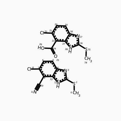 CSc1nc2ccc(Cl)c(C#N)c2[nH]1.CSc1nc2ccc(Cl)c(C(=O)O)c2[nH]1